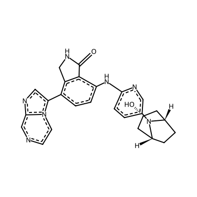 O=C1NCc2c(-c3cnc4cnccn34)ccc(Nc3ccc(N4[C@@H]5CC[C@H]4C[C@@H](O)C5)cn3)c21